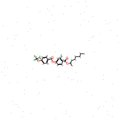 CCCCCCC(C)OC(=O)c1ccc(OC(=O)c2ccc(OC(F)(F)F)cc2)cc1F